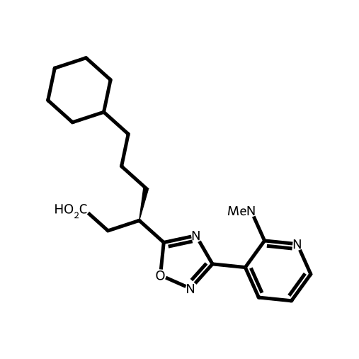 CNc1ncccc1-c1noc([C@H](CCCC2CCCCC2)CC(=O)O)n1